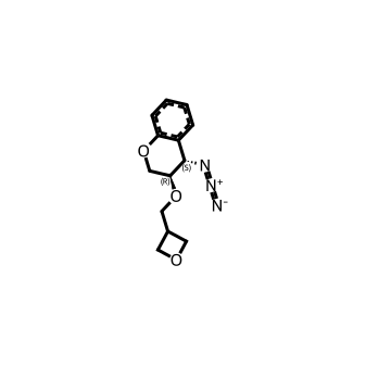 [N-]=[N+]=N[C@H]1c2ccccc2OC[C@@H]1OCC1COC1